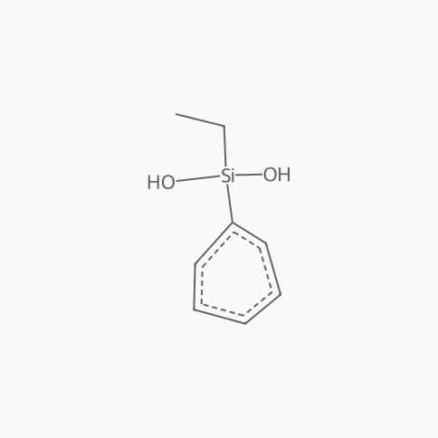 CC[Si](O)(O)c1ccccc1